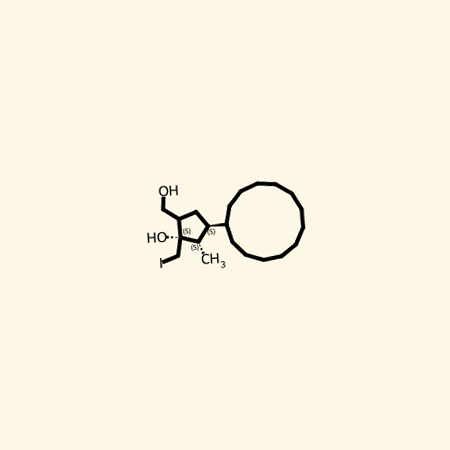 C[C@H]1[C@H](C2CCCCCCCCCCCC2)CC(CO)[C@]1(O)CI